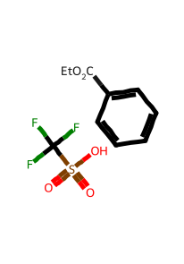 CCOC(=O)c1ccccc1.O=S(=O)(O)C(F)(F)F